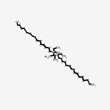 CCCCCCCCCCCCCCCC[Si](CC)(CC)N[Si](CC)(CC)CCCCCCCCCCCCCCCC